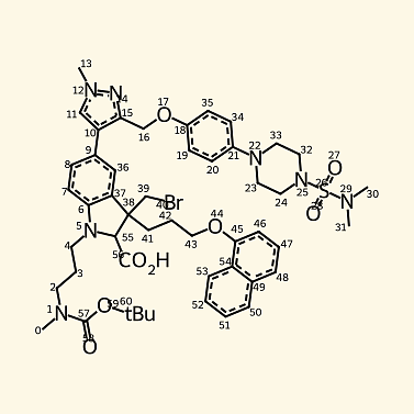 CN(CCCN1c2ccc(-c3cn(C)nc3COc3ccc(N4CCN(S(=O)(=O)N(C)C)CC4)cc3)cc2C(CBr)(CCCOc2cccc3ccccc23)C1C(=O)O)C(=O)OC(C)(C)C